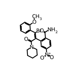 COc1ccccc1C(Br)=C(C(=O)N1CCCCC1)c1cc([N+](=O)[O-])ccc1C(N)=O